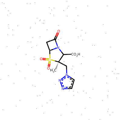 C[C@@]1(Cn2ccnn2)C(C(=O)O)N2C(=O)CC2S1(=O)=O